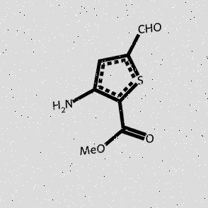 COC(=O)c1sc(C=O)cc1N